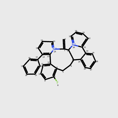 C=C1C2C(CCc3c(F)cccc3-c3c(-c4ccccc4)ccc[n+]31)c1ccccc1-c1cccc[n+]12